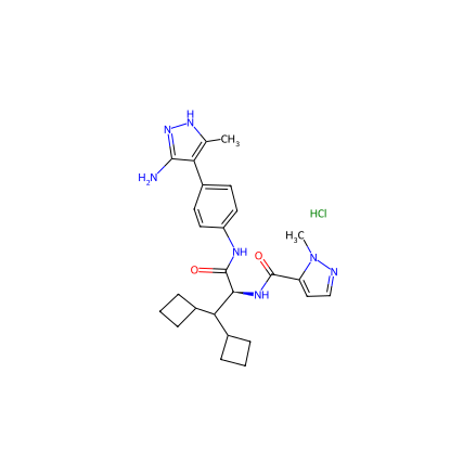 Cc1[nH]nc(N)c1-c1ccc(NC(=O)[C@@H](NC(=O)c2ccnn2C)C(C2CCC2)C2CCC2)cc1.Cl